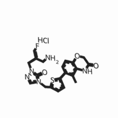 Cc1c(-c2ccc(Cn3cnn(C/C(=C/F)CN)c3=O)s2)ccc2c1NC(=O)CO2.Cl